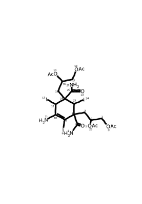 CC(=O)OCC(CC1(C(N)=O)C(I)=C(N)C(I)C(CC(COC(C)=O)OC(C)=O)(C(N)=O)C1I)OC(C)=O